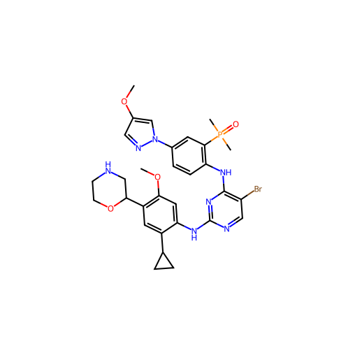 COc1cnn(-c2ccc(Nc3nc(Nc4cc(OC)c(C5CNCCO5)cc4C4CC4)ncc3Br)c(P(C)(C)=O)c2)c1